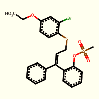 CS(=O)(=O)Oc1ccccc1/C(=C\CSc1ccc(OCC(=O)O)cc1Br)c1ccccc1